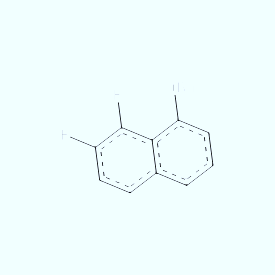 CC(C)(C)c1cccc2ccc(F)c(F)c12